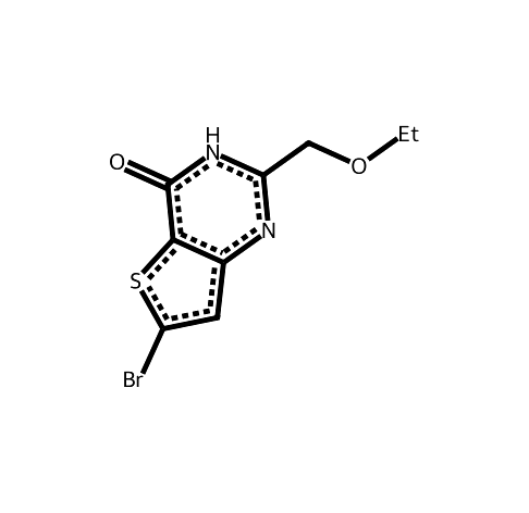 CCOCc1nc2cc(Br)sc2c(=O)[nH]1